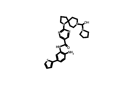 Nc1ccc(-c2cccs2)cc1NC(=O)c1cnc(N2CCCC23CCN(C(O)N2CCCC2)CC3)nc1